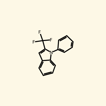 FC(F)(F)c1cc2ccccc2n1-c1ccccc1